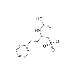 O=C(O)NC(CCc1ccccc1)CS(=O)(=O)Cl